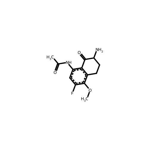 COc1c(F)cc(NC(C)=O)c2c1CCC(N)C2=O